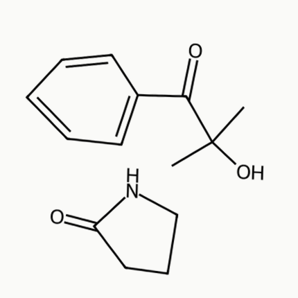 CC(C)(O)C(=O)c1ccccc1.O=C1CCCN1